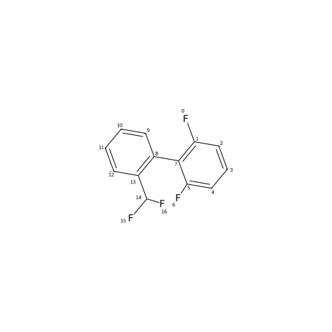 Fc1cccc(F)c1-c1ccc[c]c1C(F)F